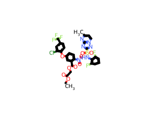 CCOC(=O)COC(=O)c1cc(Oc2ccc(C(F)(F)F)cc2Cl)ccc1[N+](=O)[O-].Cc1ccn2nc(S(=O)(=O)Nc3c(F)cccc3F)nc2n1